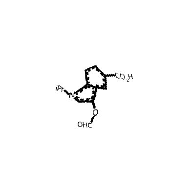 CC(C)n1cc(OC=O)c2cc(C(=O)O)ccc21